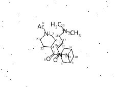 CC(=O)N1CCC(C(=O)N2CC3CC(C2)N3C(=O)/C=C/CN(C)C)CC1